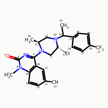 CC[C@@H]1CN(c2nc(=O)n(C)c3ccc(C#N)cc23)[C@@H](C)CN1C(C)c1ccc(C(F)(F)F)cc1